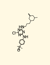 C=C1CC(C)CC(CCCNc2nc(Cl)nc(Nc3ccc(P(C)(C)=O)cc3)n2)C1